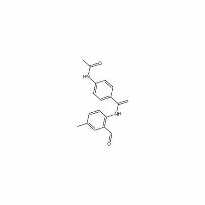 C=C(Nc1ccc(C)cc1C=O)c1ccc(NC(C)=O)cc1